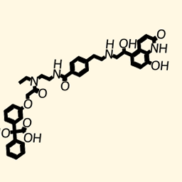 CCN(CCNC(=O)c1ccc(CCNCC(O)c2ccc(O)c3[nH]c(=O)ccc23)cc1)C(=O)COc1cccc(C(O)(C(=O)O)c2ccccc2)c1